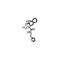 CN(C(=O)NCCc1cccs1)c1cc2ccccc2[nH]c1=O